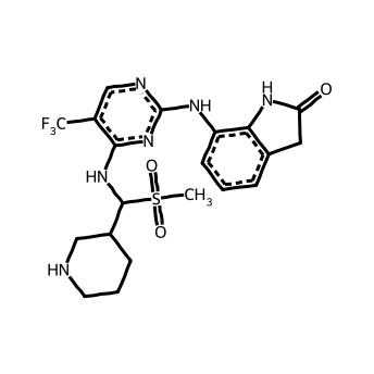 CS(=O)(=O)C(Nc1nc(Nc2cccc3c2NC(=O)C3)ncc1C(F)(F)F)C1CCCNC1